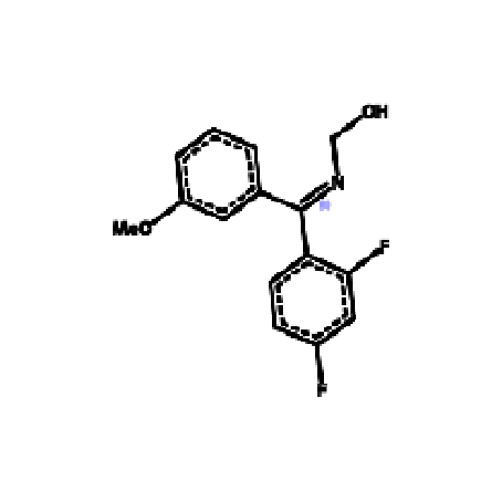 COc1cccc(/C(=N\CO)c2ccc(F)cc2F)c1